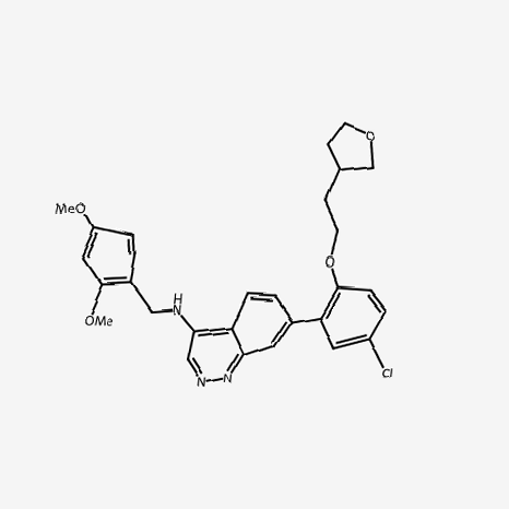 COc1ccc(CNc2cnnc3cc(-c4cc(Cl)ccc4OCCC4CCOC4)ccc23)c(OC)c1